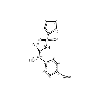 CC[C@H](C)C(NS(=O)(=O)c1cccs1)[C@@H](O)c1ccc(OC)cc1